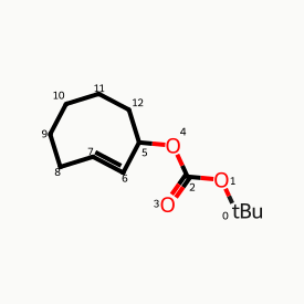 CC(C)(C)OC(=O)OC1/C=C/CCCCC1